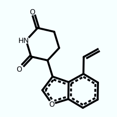 C=Cc1cccc2occ(C3CCC(=O)NC3=O)c12